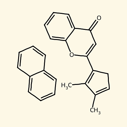 CC1=CCC(c2cc(=O)c3ccccc3o2)=C1C.c1ccc2ccccc2c1